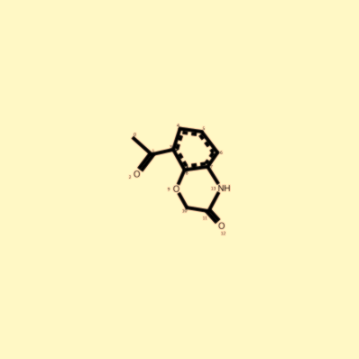 CC(=O)c1cccc2c1OCC(=O)N2